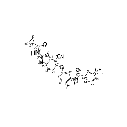 N#Cc1c(Oc2ccc(F)c(NC(=O)c3cccc(C(F)(F)F)c3)c2)ccc2nc(NC(=O)C3CC3)sc12